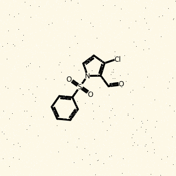 O=Cc1c(Cl)ccn1S(=O)(=O)c1ccccc1